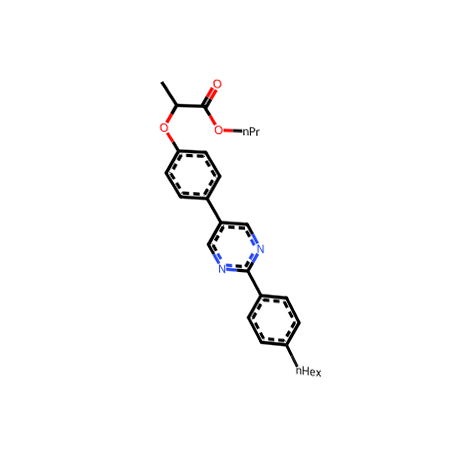 CCCCCCc1ccc(-c2ncc(-c3ccc(OC(C)C(=O)OCCC)cc3)cn2)cc1